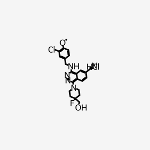 COc1ccc(CNc2nnc(N3CCC(F)(CO)CC3)c3ccc(C#N)cc23)cc1Cl.Cl